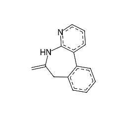 C=C1Cc2ccccc2-c2cccnc2N1